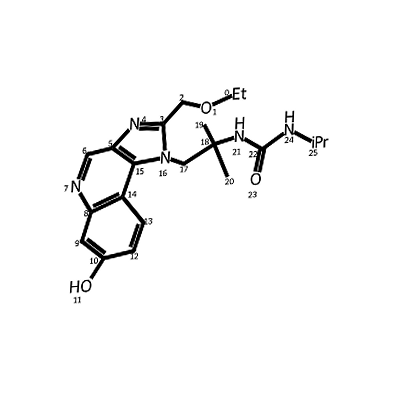 CCOCc1nc2cnc3cc(O)ccc3c2n1CC(C)(C)NC(=O)NC(C)C